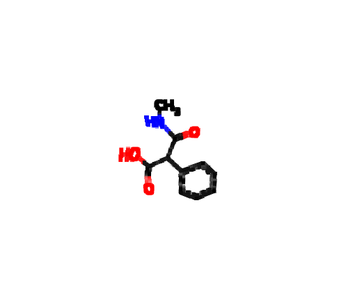 CNC(=O)C(C(=O)O)c1ccccc1